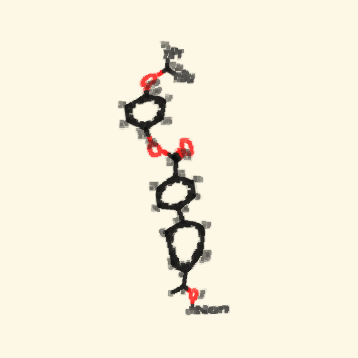 CCCCCCCCCOC(C)c1ccc(-c2ccc(C(=O)Oc3ccc(OC(CCC)CCCC)cc3)cc2)cc1